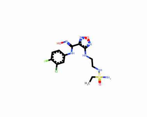 CC[SH](N)(=O)NCCNc1nonc1/C(=N/O)Nc1ccc(F)c(Cl)c1